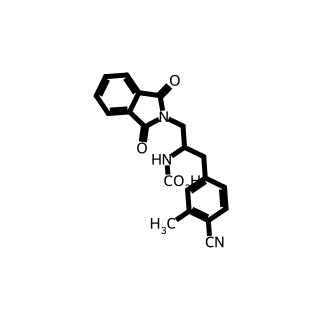 Cc1cc(CC(CN2C(=O)c3ccccc3C2=O)NC(=O)O)ccc1C#N